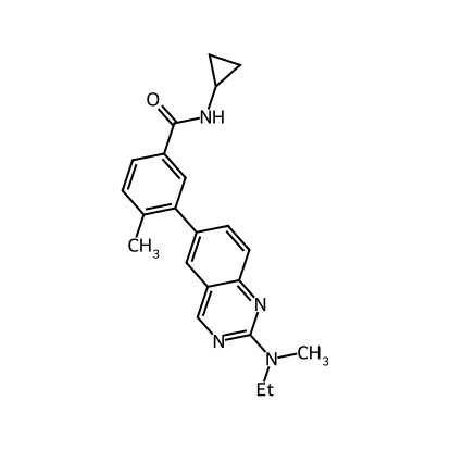 CCN(C)c1ncc2cc(-c3cc(C(=O)NC4CC4)ccc3C)ccc2n1